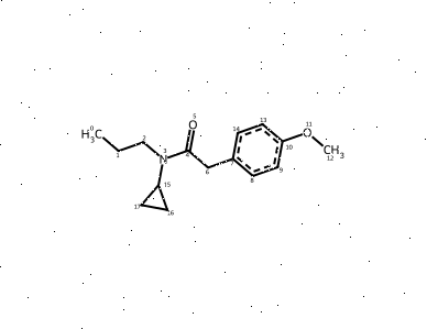 CCCN(C(=O)Cc1ccc(OC)cc1)C1CC1